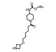 CCCCOC(=O)NC1CCN(C(=O)CCCCCOC2CNC2)CC1